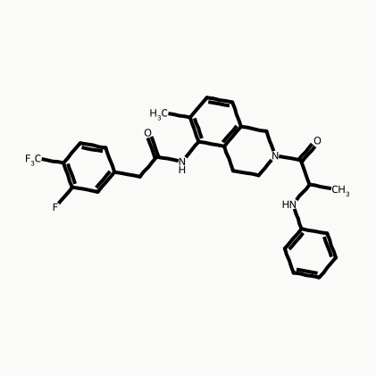 Cc1ccc2c(c1NC(=O)Cc1ccc(C(F)(F)F)c(F)c1)CCN(C(=O)C(C)Nc1ccccc1)C2